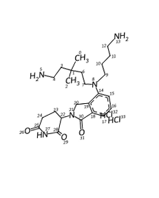 CC(C)(CCN)CCN(CCCCN)c1cccc2c1CN(C1CCC(=O)NC1=O)C2=O.Cl.Cl